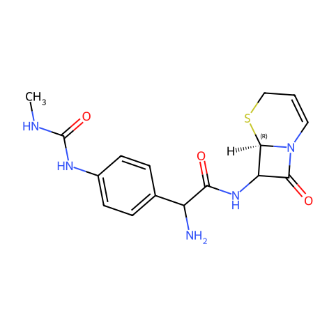 CNC(=O)Nc1ccc(C(N)C(=O)NC2C(=O)N3C=CCS[C@H]23)cc1